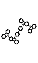 C1=C[C@@H](n2c3c(c4ccc(N5C6C=CC=CC6C6C=CC=CC65)cc42)CCC=C3)CCC=1c1ccc(-n2c3c(c4ccccc42)C=CC(N2c4ccccc4C4C=CC=CC42)C3)cc1